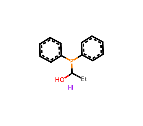 CCC(O)P(c1ccccc1)c1ccccc1.I